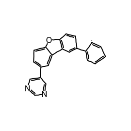 [c]1ccccc1-c1ccc2oc3ccc(-c4cncnc4)cc3c2c1